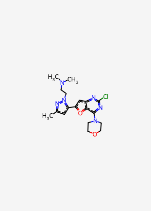 Cc1cc(-c2cc3nc(Cl)nc(N4CCOCC4)c3o2)n(CCN(C)C)n1